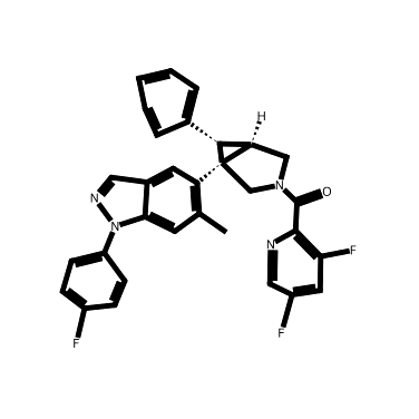 Cc1cc2c(cnn2-c2ccc(F)cc2)cc1[C@@]12CN(C(=O)c3ncc(F)cc3F)C[C@@H]1[C@H]2c1ccccc1